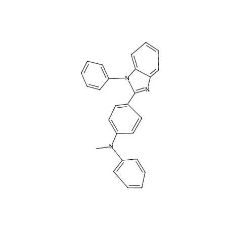 CN(c1ccccc1)c1ccc(-c2nc3ccccc3n2-c2ccccc2)cc1